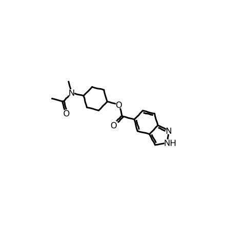 CC(=O)N(C)C1CCC(OC(=O)c2ccc3n[nH]cc3c2)CC1